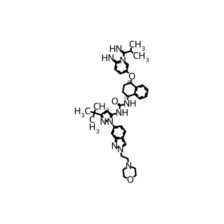 CC(C)C(=N)n1cc(O[C@@H]2CC[C@H](NC(=O)Nc3cc(C(C)(C)C)nn3-c3ccc4cn(CCN5CCOCC5)nc4c3)c3ccccc32)ccc1=N